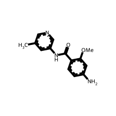 COc1cc(N)ccc1C(=O)Nc1cncc(C)c1